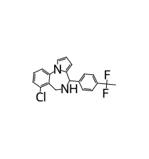 CC(F)(F)c1ccc(C2NCc3c(Cl)cccc3-n3cccc32)cc1